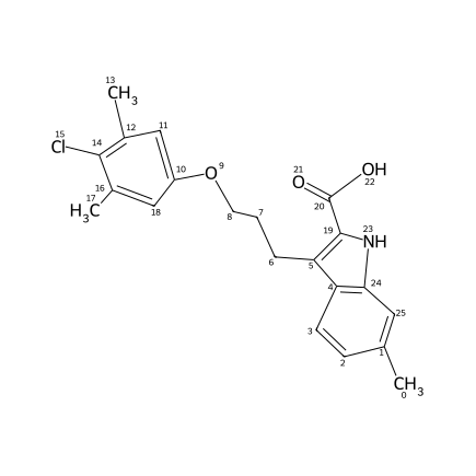 Cc1ccc2c(CCCOc3cc(C)c(Cl)c(C)c3)c(C(=O)O)[nH]c2c1